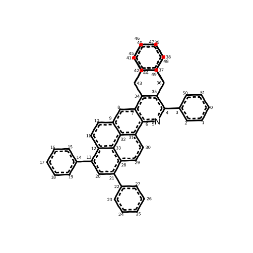 c1ccc(-c2nc3c(cc4ccc5c(-c6ccccc6)cc(-c6ccccc6)c6ccc3c4c56)c3c2C2c4ccccc4C3c3ccccc32)cc1